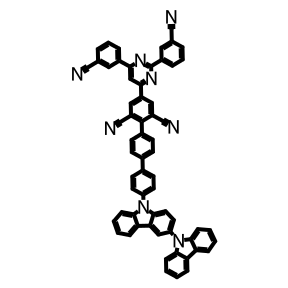 N#Cc1cccc(-c2cc(-c3cc(C#N)c(-c4ccc(-c5ccc(-n6c7ccccc7c7cc(-n8c9ccccc9c9ccccc98)ccc76)cc5)cc4)c(C#N)c3)nc(-c3cccc(C#N)c3)n2)c1